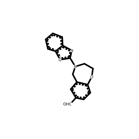 O=Cc1ccc2c(c1)CN(c1nc3ccccc3o1)CCO2